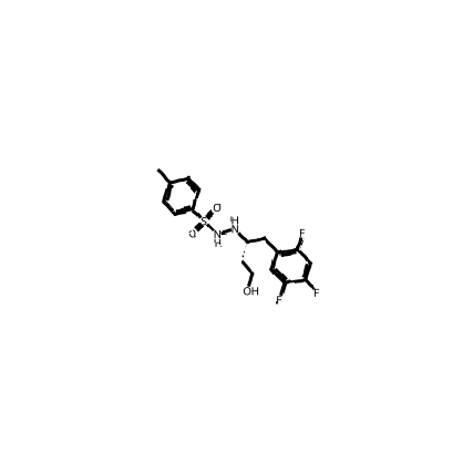 Cc1ccc(S(=O)(=O)NN[C@@H](CCO)Cc2cc(F)c(F)cc2F)cc1